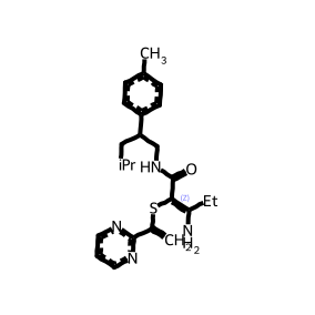 C=C(S/C(C(=O)NCC(CC(C)C)c1ccc(C)cc1)=C(\N)CC)c1ncccn1